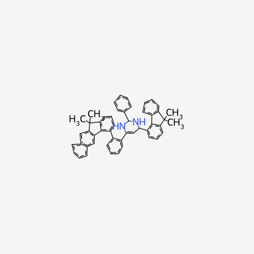 CC1(C)c2cc3ccccc3cc2-c2c(-c3ccccc3C3=CC(c4cccc5c4-c4ccccc4C5(C)C)NC(c4ccccc4)N3)cccc21